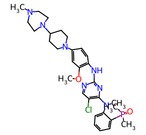 COc1cc(N2CCC(N3CCN(C)CC3)CC2)ccc1Nc1ncc(Cl)c(N(C)c2ccccc2P(C)(C)=O)n1